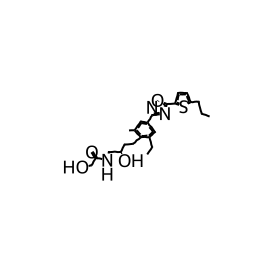 CCCc1ccc(-c2nc(-c3cc(C)c(CC[C@H](O)CNC(=O)CO)c(CC)c3)no2)s1